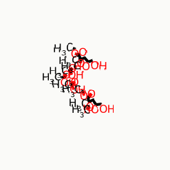 CC(=O)O.CC(=O)O.CC(=O)O.CCOC(=O)C(C)(CC(O)CO)OC.CCOC(=O)C(C)(CC(O)CO)OC